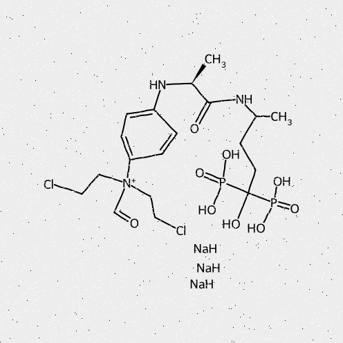 CC(CCC(O)(P(=O)(O)O)P(=O)(O)O)NC(=O)[C@H](C)Nc1ccc([N+](C=O)(CCCl)CCCl)cc1.[NaH].[NaH].[NaH]